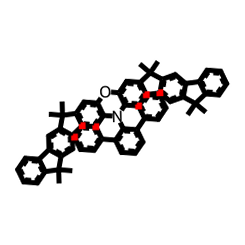 CC1(C)c2ccccc2-c2cc3c(cc21)-c1cc2c(cc1C3(C)C)Oc1cc3c(cc1N2c1c(-c2ccccc2)cccc1-c1ccccc1)-c1cc2c(cc1C3(C)C)-c1ccccc1C2(C)C